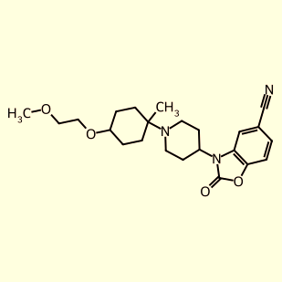 COCCOC1CCC(C)(N2CCC(n3c(=O)oc4ccc(C#N)cc43)CC2)CC1